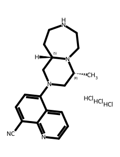 C[C@@H]1CN(c2ccc(C#N)c3ncccc23)C[C@@H]2CCNCCN21.Cl.Cl.Cl